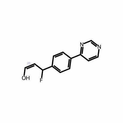 O/C=C\C(F)c1ccc(-c2ccncn2)cc1